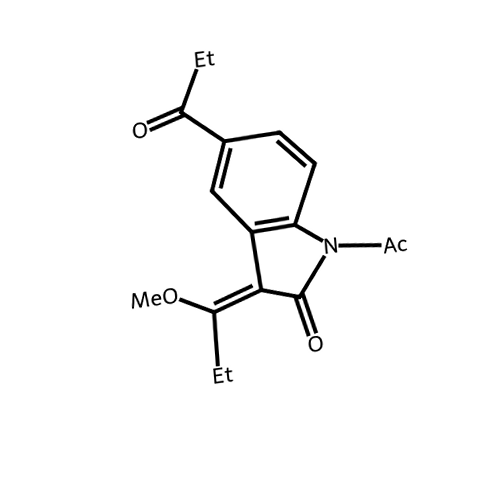 CCC(=O)c1ccc2c(c1)/C(=C(/CC)OC)C(=O)N2C(C)=O